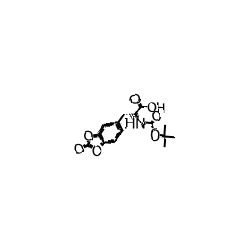 CC(C)(C)OC(=O)N[C@H](Cc1ccc2oc(=O)oc2c1)C(=O)O